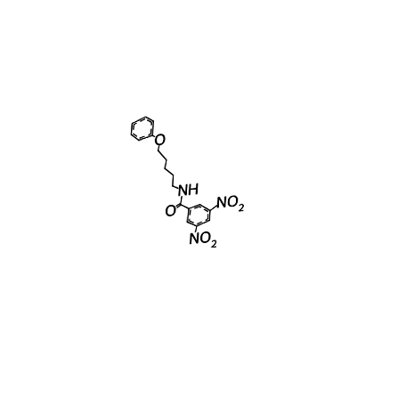 O=C(NCCCCCOc1ccccc1)c1cc([N+](=O)[O-])cc([N+](=O)[O-])c1